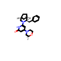 C[C@@H]1CN(c2cc(N3C[C@H]4CC[C@H](C4)[C@H]3Cc3ccccc3)[nH]c(=O)c2)CCO1